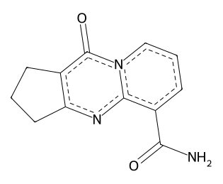 NC(=O)c1cccn2c(=O)c3c(nc12)CCC3